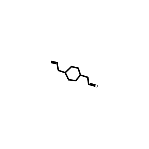 C=CCC1CCC(CC=O)CC1